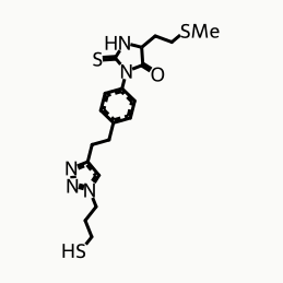 CSCCC1NC(=S)N(c2ccc(CCc3cn(CCCS)nn3)cc2)C1=O